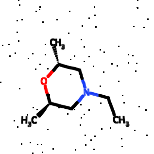 CCN1C[C@@H](C)O[C@H](C)C1